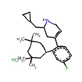 CC1(C)CC(c2cc(F)ccc2C2=CCNC(CC3CC3)C2)CC(C)(C)C1.Cl